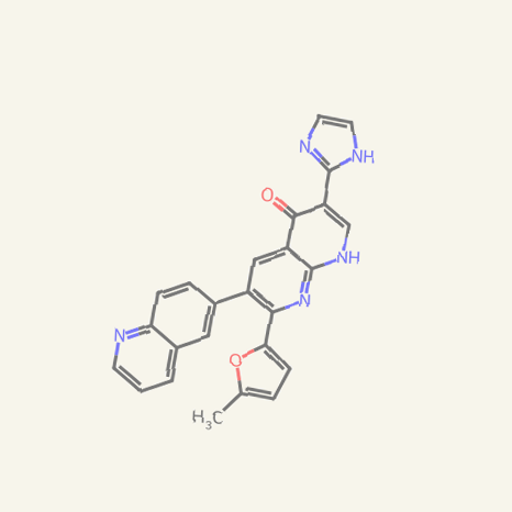 Cc1ccc(-c2nc3[nH]cc(-c4ncc[nH]4)c(=O)c3cc2-c2ccc3ncccc3c2)o1